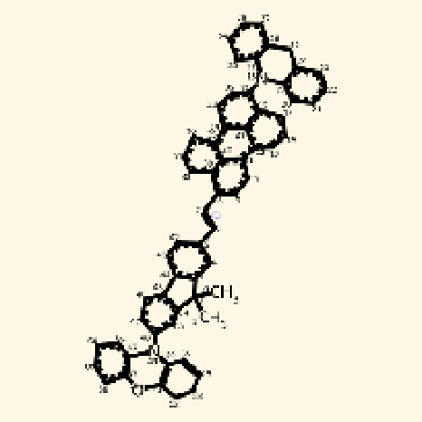 CC1(C)c2cc(/C=C/c3ccc4c5cccc6c(N7c8ccccc8Cc8ccccc87)ccc(c7cccc3c47)c65)ccc2-c2ccc(N3C4=C(CCC=C4)Oc4ccccc43)cc21